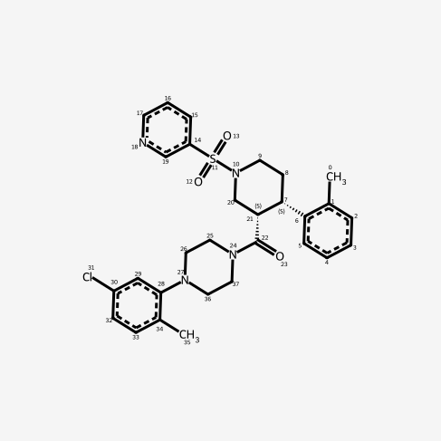 Cc1ccccc1[C@H]1CCN(S(=O)(=O)c2cccnc2)C[C@H]1C(=O)N1CCN(c2cc(Cl)ccc2C)CC1